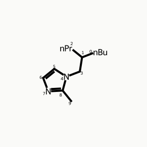 CCCCC(CCC)Cn1ccnc1C